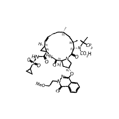 COCCn1nc(O[C@@H]2C[C@H]3C(=O)N[C@]4(C(=O)NS(=O)(=O)C5CC5)C[C@H]4C=CCC[C@H](C)C[C@@H](C)[C@H](N(C(=O)O)C(C)(C)C(F)(F)F)C(=O)N3C2)c2ccccc2c1=O